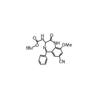 COc1cc(C#N)cc2c1NC(=O)C(NC(=O)OC(C)(C)C)N=C2c1ccccc1